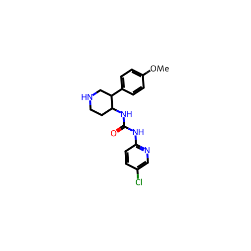 COc1ccc(C2CNCCC2NC(=O)Nc2ccc(Cl)cn2)cc1